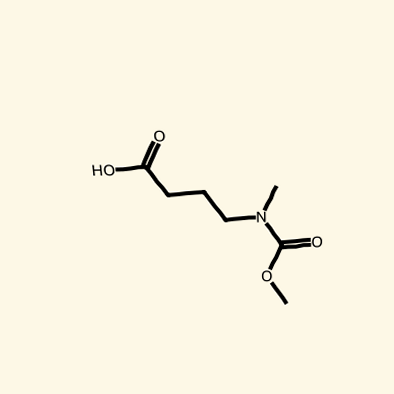 COC(=O)N(C)CCCC(=O)O